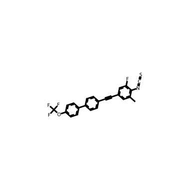 Cc1cc(C#Cc2ccc(-c3ccc(OC(F)(F)F)cc3)cc2)cc(F)c1N=C=S